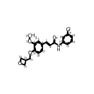 COc1cc(/C=C/C(=O)Nc2cccc(Cl)c2)ccc1OCC1COC1